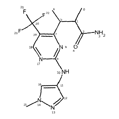 CC(C(N)=O)C(C)c1nc(Nc2cnn(C)c2)ncc1C(F)(F)F